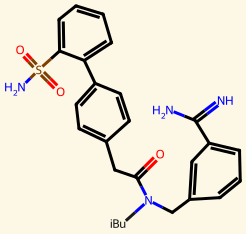 CCC(C)N(Cc1cccc(C(=N)N)c1)C(=O)Cc1ccc(-c2ccccc2S(N)(=O)=O)cc1